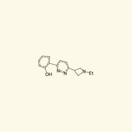 CCN1CC(c2ccc(-c3ccccc3O)nn2)C1